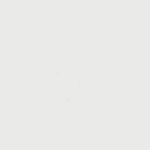 CN1CC(N)N=C(c2cccs2)c2ccccc21